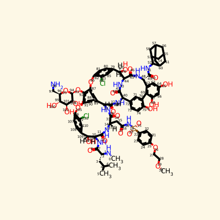 CN[C@H](CC(C)C)C(=O)N[C@H]1C(=O)N[C@@H](CC(=O)NS(=O)(=O)c2ccc(OCCOC)cc2)C(=O)N[C@H]2C(=O)N[C@H]3C(=O)N[C@H](C(=O)N[C@H](C(=O)NC4C5CC6CC(C5)CC4C6)c4cc(O)cc(O)c4-c4cc3ccc4O)[C@H](O)c3ccc(c(Cl)c3)Oc3cc2cc(c3O[C@@H]2O[C@H](CN)[C@@H](O)[C@H](O)[C@H]2O)Oc2ccc(cc2Cl)[C@H]1O